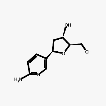 Nc1ccc([C@H]2C[C@@H](O)[C@@H](CO)O2)cn1